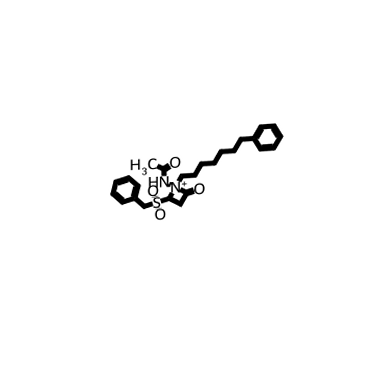 CC(=O)N[N+]1(CCCCCCCc2ccccc2)C(=O)CC1S(=O)(=O)Cc1ccccc1